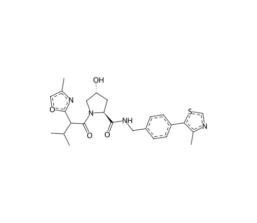 Cc1coc(C(C(=O)N2C[C@H](O)C[C@H]2C(=O)NCc2ccc(-c3scnc3C)cc2)C(C)C)n1